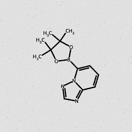 CC1(C)OB(c2cccc3ncnn23)OC1(C)C